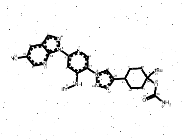 CC(C)Nc1cc(-n2ncc3cc(C#N)cnc32)ncc1-n1cc(C2CCC(OC(N)=O)(C(C)(C)C)CC2)nn1